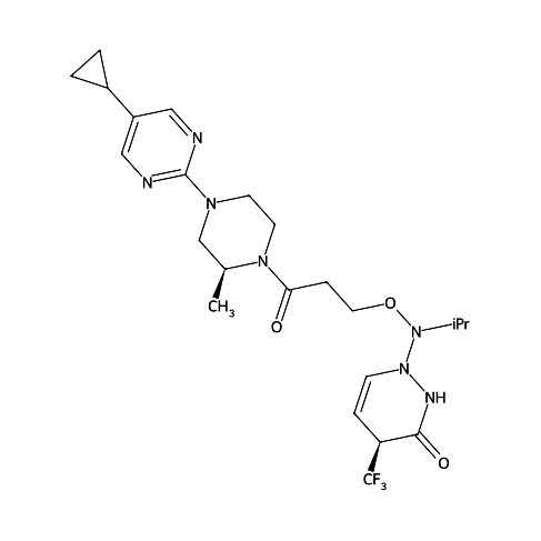 CC(C)N(OCCC(=O)N1CCN(c2ncc(C3CC3)cn2)C[C@@H]1C)N1C=C[C@H](C(F)(F)F)C(=O)N1